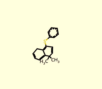 CC1(C)C=CC(Sc2ccccc2)=C2CC=CC=C21